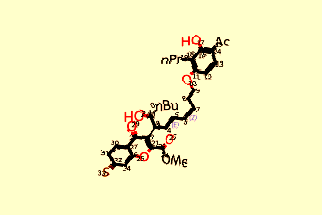 CCCC[C@@H](O)[C@@H](/C=C/C=C\CCOc1ccc(C(C)=O)c(O)c1CCC)c1c(C(=O)OC)oc2c(c1=O)=CCC(=S)C=2